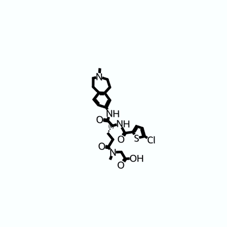 CN1CCc2ccc(NC(=O)[C@@H](CCC(=O)N(C)CC(=O)O)NC(=O)c3ccc(Cl)s3)cc2CC1